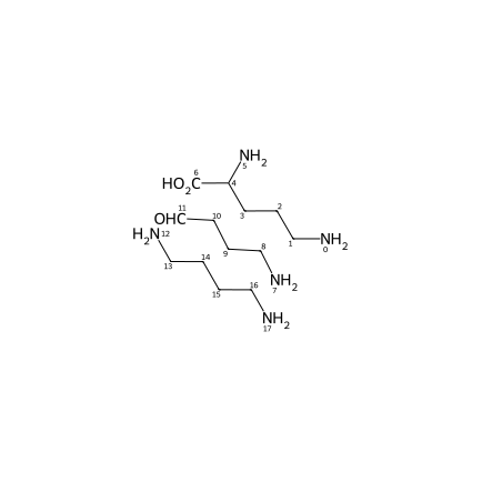 NCCCC(N)C(=O)O.NCCCC=O.NCCCCN